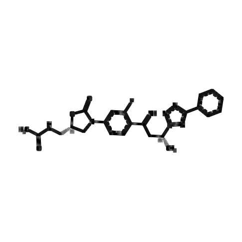 CC(=O)NC[C@H]1CN(c2ccc(C(=N)C[C@@H](C)n3nnc(-c4ccccc4)n3)c(F)c2)C(=O)O1